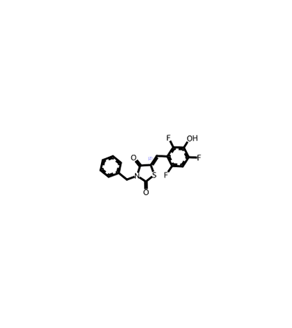 O=C1S/C(=C\c2c(F)cc(F)c(O)c2F)C(=O)N1Cc1ccccc1